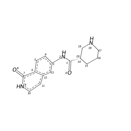 O=C(Nc1ccc2c(=O)[nH]ccc2c1)[C@H]1CCCNC1